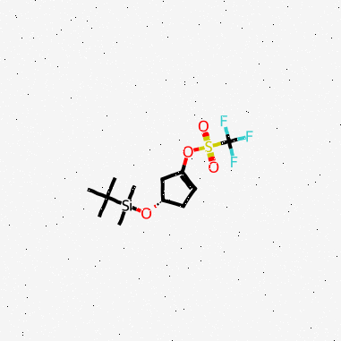 CC(C)(C)[Si](C)(C)O[C@H]1CC=C(OS(=O)(=O)C(F)(F)F)C1